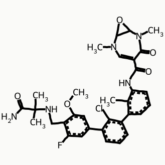 COc1cc(-c2cccc(-c3cccc(NC(=O)C4=CN(C)C5OC5N(C)C4=O)c3C)c2Cl)cc(F)c1CNC(C)(C)C(N)=O